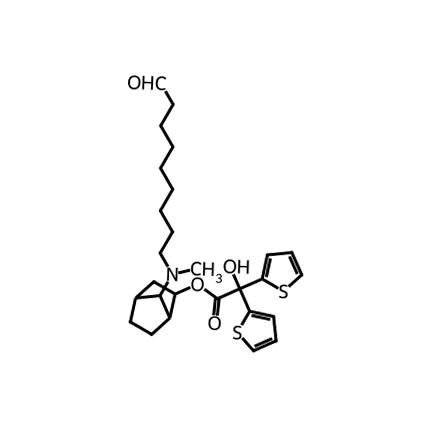 CN(CCCCCCCCC=O)C1C2CCC1C(OC(=O)C(O)(c1cccs1)c1cccs1)C2